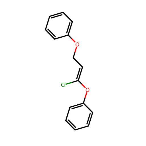 ClC(=CCOc1ccccc1)Oc1ccccc1